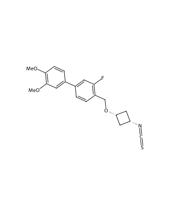 COc1ccc(-c2ccc(CO[C@H]3C[C@@H](N=C=S)C3)c(F)c2)cc1OC